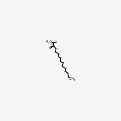 CCCCCCCCCCCCCC(=S)C(C)=O